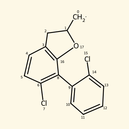 [CH2]C1Cc2ccc(Cl)c(-c3ccccc3Cl)c2O1